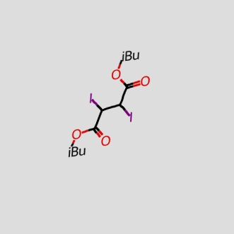 CCC(C)OC(=O)C(I)C(I)C(=O)OC(C)CC